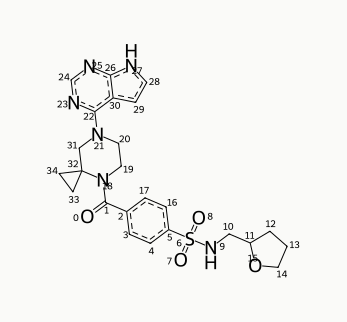 O=C(c1ccc(S(=O)(=O)NCC2CCCO2)cc1)N1CCN(c2ncnc3[nH]ccc23)CC12CC2